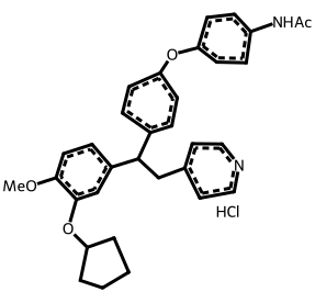 COc1ccc(C(Cc2ccncc2)c2ccc(Oc3ccc(NC(C)=O)cc3)cc2)cc1OC1CCCC1.Cl